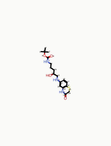 CC(C)(C)OC(=O)NCCCC(O)CNc1ccc2c(c1)NC(=O)CS2